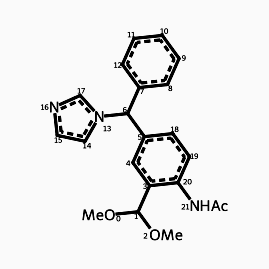 COC(OC)c1cc(C(c2ccccc2)n2ccnc2)ccc1NC(C)=O